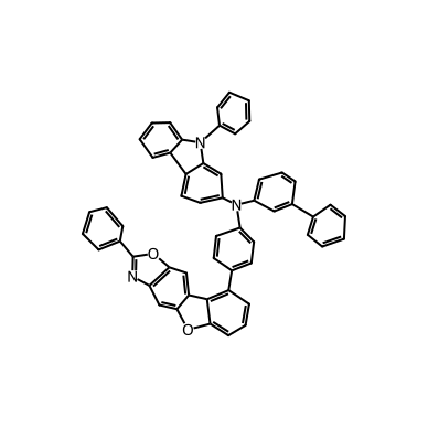 c1ccc(-c2cccc(N(c3ccc(-c4cccc5oc6cc7nc(-c8ccccc8)oc7cc6c45)cc3)c3ccc4c5ccccc5n(-c5ccccc5)c4c3)c2)cc1